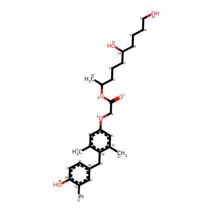 Cc1cc(OCC(=O)OC(C)CCCC(O)CCCCO)cc(C)c1Cc1ccc(O)c(C(C)C)c1